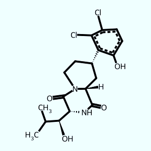 CC(C)[C@H](O)[C@H]1NC(=O)[C@H]2C[C@@H](c3c(O)ccc(Cl)c3Cl)CCN2C1=O